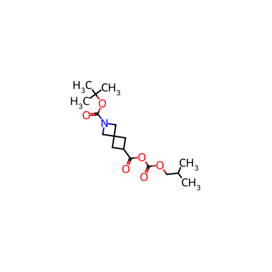 CC(C)COC(=O)OC(=O)C1CC2(C1)CN(C(=O)OC(C)(C)C)C2